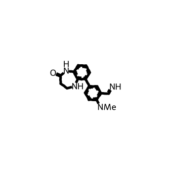 CNc1ccc(-c2cccc3c2NCCC(=O)N3)cc1C=N